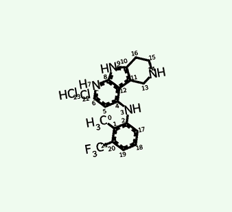 Cc1c(Nc2ccnc3[nH]c4c(c23)CNCC4)cccc1C(F)(F)F.Cl.Cl